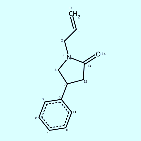 C=CCN1CC(c2ccccc2)CC1=O